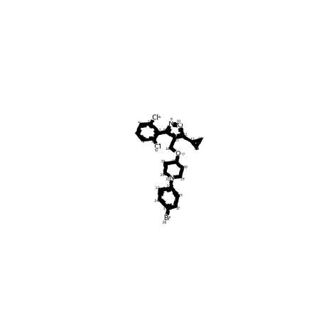 Clc1cccc(Cl)c1-c1noc(C2CC2)c1COC1CCN(c2ccc(Br)cc2)CC1